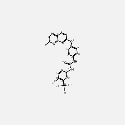 Cc1cnc2ccc(Oc3ccc(NC(=O)Nc4ccc(F)c(C(F)(F)F)c4)cc3)cc2n1